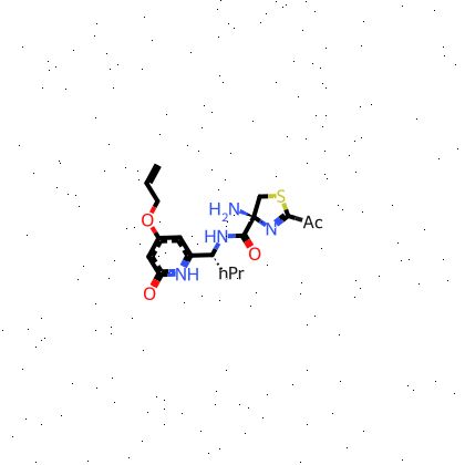 C=CCOc1cc([C@@H](CCC)NC(=O)[C@]2(N)CSC(C(C)=O)=N2)[nH]c(=O)c1